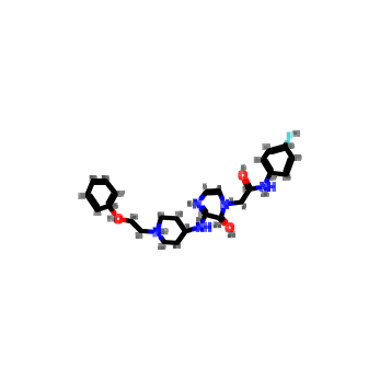 O=C(Cn1ccnc(NC2CCN(CCOc3ccccc3)CC2)c1=O)Nc1ccc(F)cc1